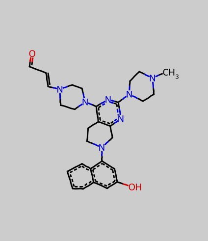 CN1CCN(c2nc3c(c(N4CCN(C=CC=O)CC4)n2)CCN(c2cc(O)cc4ccccc24)C3)CC1